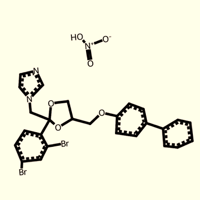 Brc1ccc(C2(Cn3ccnc3)OCC(COc3ccc(-c4ccccc4)cc3)O2)c(Br)c1.O=[N+]([O-])O